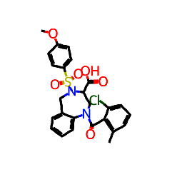 COc1ccc(S(=O)(=O)N2Cc3ccccc3N(C(=O)c3c(C)cccc3Cl)CC2C(=O)O)cc1